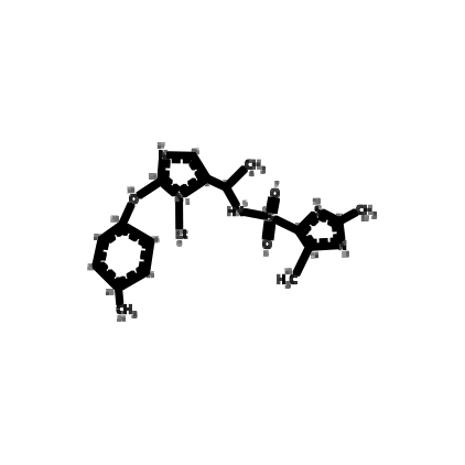 CCn1c(C(C)NS(=O)(=O)c2sc(C)nc2C)cnc1Oc1ccc(C)cc1